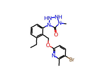 CCc1cccc(N2NNN(C)C2=O)c1COc1ccc(Br)c(C)n1